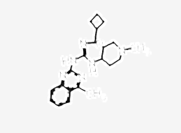 Cc1nc(N/C(=N/C(=O)C2CCC2)NC2CCN(C)CC2)nc2ccccc12